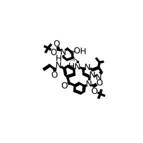 C=CC(=O)Nc1cccc(C(=O)c2cccc(N(C(=O)OC(C)(C)C)c3cc(NC[C@@H]4CCN(C(=O)OC(C)(C)C)C[C@@H]4O)nc4c(C(C)C)cnn34)c2)c1